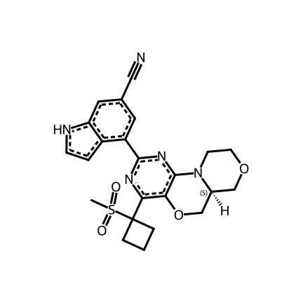 CS(=O)(=O)C1(c2nc(-c3cc(C#N)cc4[nH]ccc34)nc3c2OC[C@@H]2COCCN32)CCC1